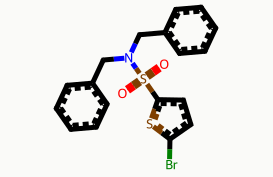 O=S(=O)(c1ccc(Br)s1)N(Cc1ccccc1)Cc1ccccc1